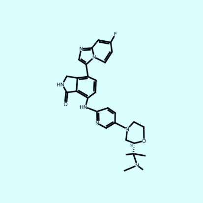 CN(C)C(C)(C)[C@@H]1CN(c2ccc(Nc3ccc(-c4cnc5cc(F)ccn45)c4c3C(=O)NC4)nc2)CCO1